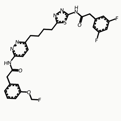 O=C(Cc1cccc(OCF)c1)Nc1ccc(CCCCc2nnc(NC(=O)Cc3cc(F)cc(F)c3)s2)nn1